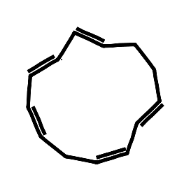 [C]1=C/C=C\C/C=C\C=C\CC/C=C/1